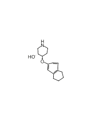 O[C@@H]1CNCC[C@H]1Oc1ccc2c(c1)CCCC2